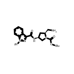 CC(C)n1nc(C(=O)N[C@H]2C[C@@H](CN)N(C(=O)OC(C)(C)C)C2)c2ccccc21